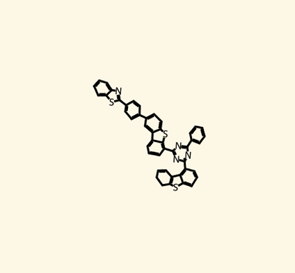 C1=Cc2c(sc3cccc(-c4nc(-c5ccccc5)nc(-c5cccc6c5sc5ccc(-c7ccc(-c8nc9ccccc9s8)cc7)cc56)n4)c23)CC1